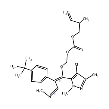 C=CC(C)COC(=O)OCO/C(=C(/C=N\C)c1ccc(C(C)(C)C)cc1)c1c(Cl)c(C)nn1C